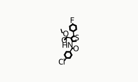 CCOC(=O)c1c(NC(=O)c2ccc(Cl)cc2)csc1-c1ccc(F)cc1